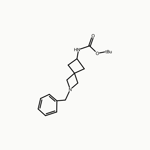 CC(C)(C)OC(=O)NC1CC2(C1)CN(Cc1ccccc1)C2